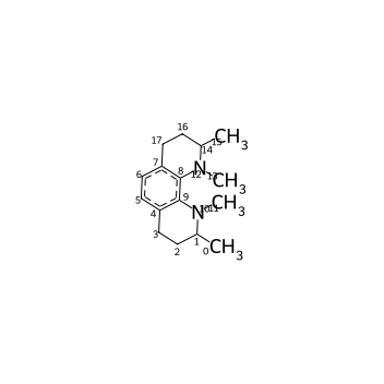 CC1CCc2ccc3c(c2N1C)N(C)C(C)CC3